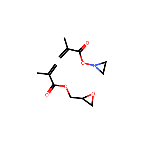 C=C(C)C(=O)OCC1CO1.C=C(C)C(=O)ON1CC1